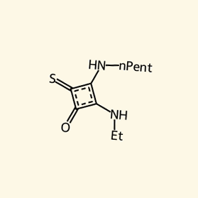 CCCCCNc1c(NCC)c(=O)c1=S